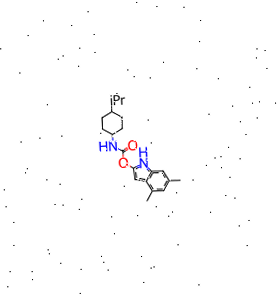 Cc1cc(C)c2cc(OC(=O)NC3CCC(C(C)C)CC3)[nH]c2c1